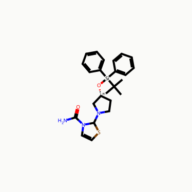 CC(C)(C)[Si](O[C@@H]1CCN(C2SC=CN2C(N)=O)C1)(c1ccccc1)c1ccccc1